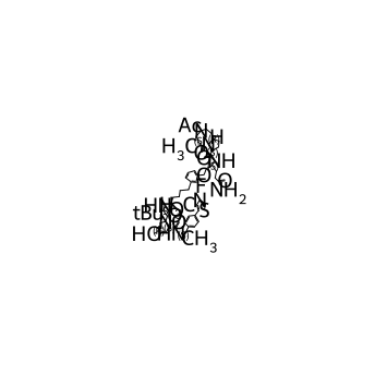 CC(=O)N1CC[C@H]2CC[C@@H](C(=O)N[C@@H](CCC(N)=O)COc3cccc(CCCCC(=O)N[C@H](C(=O)N4C[C@H](O)C[C@H]4C(=O)N[C@@H](C)c4ccc(-c5scnc5C)cc4)C(C)(C)C)c3F)N2C(=O)[C@@H](C)C1